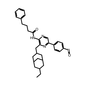 CCC1CC2CC(Cc3nc(-c4ccc(N=O)cc4)cnc3NC(=O)CCCc3ccccc3)CC(C1)C2